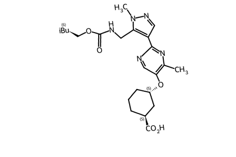 CC[C@H](C)COC(=O)NCc1c(-c2ncc(O[C@H]3CCC[C@H](C(=O)O)C3)c(C)n2)cnn1C